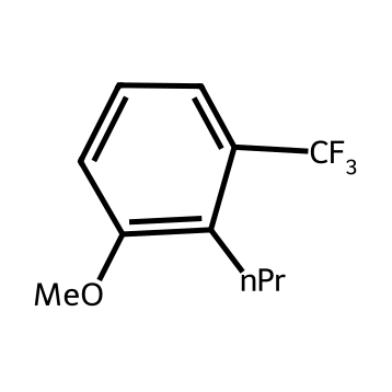 CCCc1c(OC)cccc1C(F)(F)F